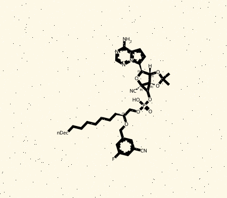 CCCCCCCCCCCCCCCCC[C@@H](COP(=O)(O)OC1[C@@]2(C#N)O[C@@H](c3ccc4c(N)ncnn34)[C@@H]3OC(C)(C)O[C@@]132)OCc1cc(F)cc(C#N)c1